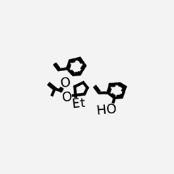 C=C(C)C(=O)OC1(CC)CCCC1.C=Cc1ccccc1.C=Cc1ccccc1O